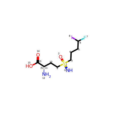 N=S(=O)(CCCC(F)I)CC[C@H](N)C(=O)O